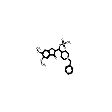 COc1cc2c(cc1OC)C(=O)C(C(OS(C)(=O)=O)C1CCN(Cc3ccccc3)CC1)C2